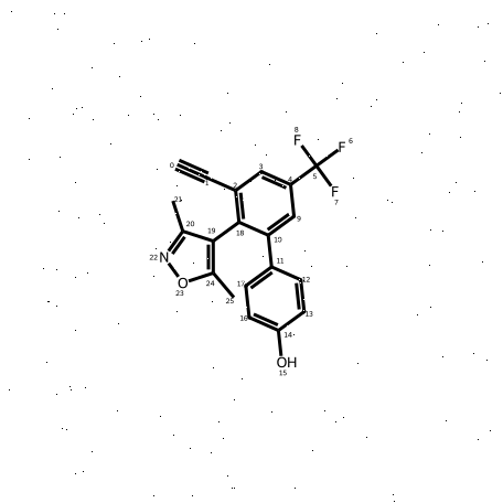 C#Cc1cc(C(F)(F)F)cc(-c2ccc(O)cc2)c1-c1c(C)noc1C